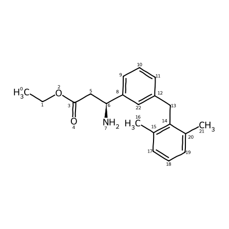 CCOC(=O)C[C@H](N)c1cccc(Cc2c(C)cccc2C)c1